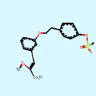 CCOC(=O)C(=Cc1cccc(OCCc2ccc(OS(C)(=O)=O)cc2)c1)OCC